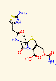 NC(=O)OCC1=C(C(=O)O)N2C(=O)C(NC(=O)Cc3csc(N)n3)[C@H]2SC1